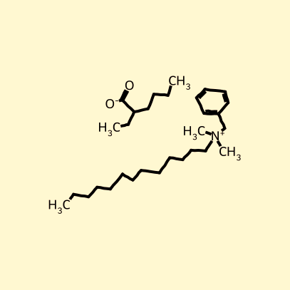 CCCCC(CC)C(=O)[O-].CCCCCCCCCCCCC[N+](C)(C)Cc1ccccc1